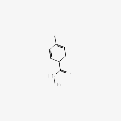 CCCNC(=O)C1C=CC(C)=CC1